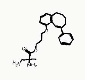 CC(N)(CN)C(=O)OCCCOc1cccc2c1/C=C(/c1ccccc1)CCCC2